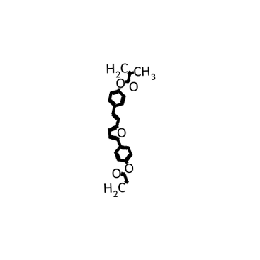 C=CC(=O)Oc1ccc(-c2ccc(/C=C/c3ccc(OC(=O)C(=C)C)cc3)o2)cc1